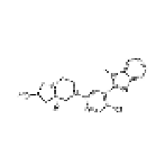 Cn1c(-c2cc(N3CCN4C[C@H](O)C[C@@H]4C3)ncc2Cl)nc2ccccc21